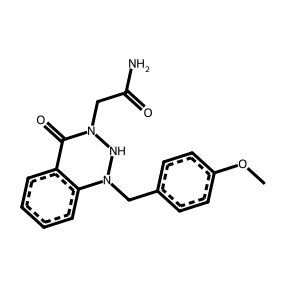 COc1ccc(CN2NN(CC(N)=O)C(=O)c3ccccc32)cc1